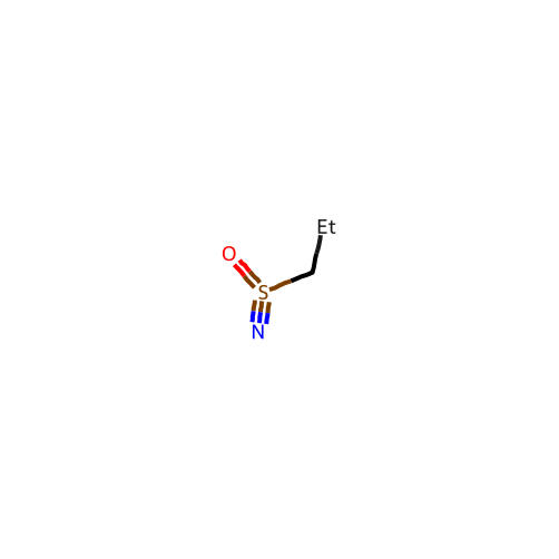 CCCS(#N)=O